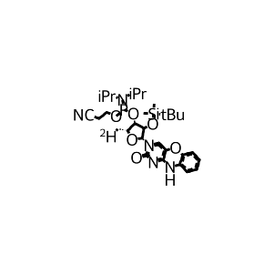 [2H]C[C@H]1O[C@@H](n2cc3c(nc2=O)Nc2ccccc2O3)C(O[Si](C)(C)C(C)(C)C)[C@H]1OP(OCCC#N)N(C(C)C)C(C)C